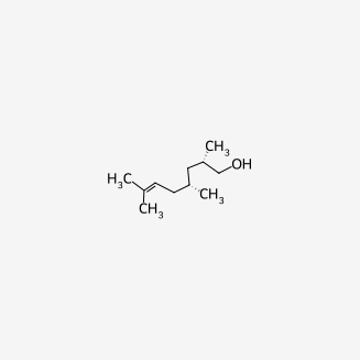 CC(C)=CC[C@@H](C)C[C@H](C)CO